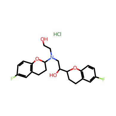 Cl.OCCN(CC(O)C1CCc2cc(F)ccc2O1)C1CCc2cc(F)ccc2O1